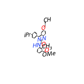 C#CCOc1ccc2nc(C(=O)Nc3cccc(C(=O)OC)c3C)nc(-c3ccc(C(C)C)cc3)c2c1